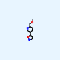 COCc1ccc(-c2ccno2)cn1